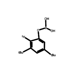 [2H]c1c(OB(O)O)cc(C(C)(C)C)cc1C(C)(C)C